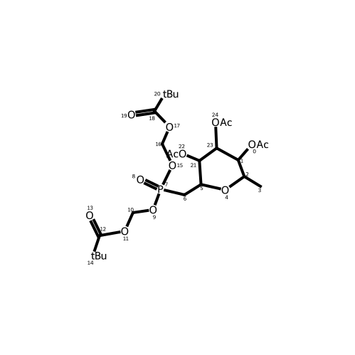 CC(=O)OC1C(C)OC(CP(=O)(OCOC(=O)C(C)(C)C)OCOC(=O)C(C)(C)C)C(OC(C)=O)C1OC(C)=O